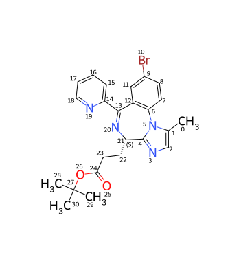 Cc1cnc2n1-c1ccc(Br)cc1C(c1ccccn1)=N[C@H]2CCC(=O)OC(C)(C)C